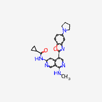 CNc1ncc(-c2nc3cc(N4CCCC4)ccc3o2)c2cc(NC(=O)C3CC3)ncc12